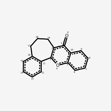 O=c1c2c(oc3ccccc13)-c1ccccc1CCC2